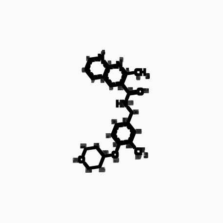 Cc1nc2ncccc2cc1C(=O)NCc1ccc(OC2CCOCC2)c(C(F)(F)F)c1